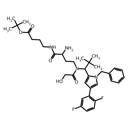 CC(C)(C)OC(=O)CCCNC(=O)C(N)CCN(C(=O)CO)C(c1cc(-c2cc(F)ccc2F)cn1Cc1ccccc1)C(C)(C)C